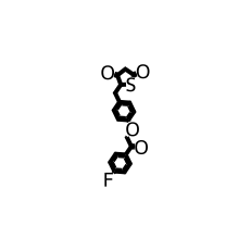 O=C1CC(=O)C(Cc2ccc(OCC(=O)c3ccc(F)cc3)cc2)S1